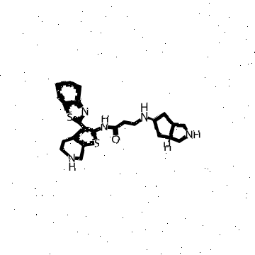 O=C(CCN[C@H]1CC2CNC[C@H]2C1)Nc1sc2c(c1-c1nc3ccccc3s1)CCNC2